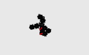 c1ccc(-c2ccc(-c3cc(-c4ccc5c(c4)C4(c6ccccc6-c6ccccc6-5)c5ccccc5-c5ccccc54)nc(-c4ccc5oc6ccccc6c5c4)n3)cc2)cc1